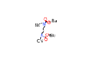 CC(C)(C)OC(=O)N(CC#N)CCCCN(CC#N)C(=O)OC(C)(C)C